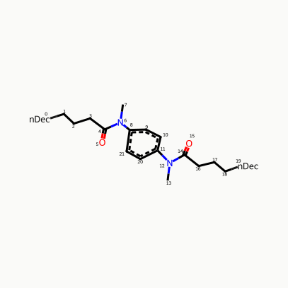 CCCCCCCCCCCCCC(=O)N(C)c1ccc(N(C)C(=O)CCCCCCCCCCCCC)cc1